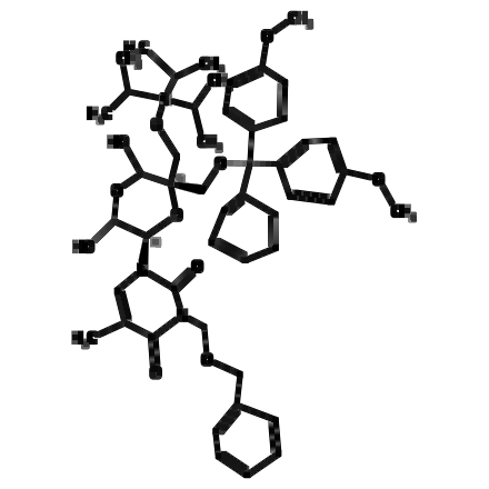 COc1ccc(C(OC[C@@]2(CO[Si](C(C)C)(C(C)C)C(C)C)O[C@@H](n3cc(C)c(=O)n(COCc4ccccc4)c3=O)C(O)OC2O)(c2ccccc2)c2ccc(OC)cc2)cc1